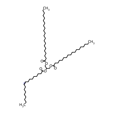 CCCCCCCC/C=C\CCCCCCCC(=O)OC(COC(=O)CCCCCCCCCCCCCCCCC)COC(=O)CCCCCCCCCCCCCCCCCCCCC